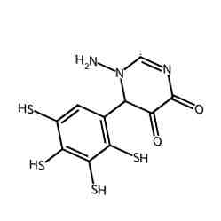 NN1[C]=NC(=O)C(=O)C1c1cc(S)c(S)c(S)c1S